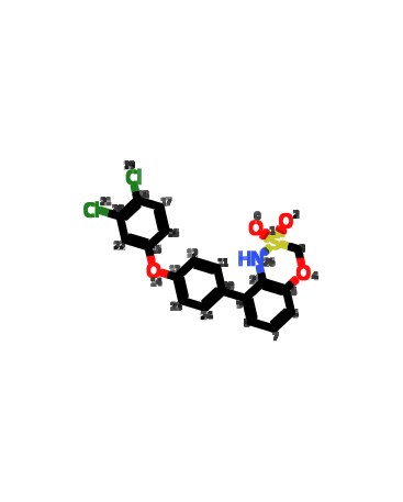 O=S1(=O)COc2cccc(-c3ccc(Oc4ccc(Cl)c(Cl)c4)cc3)c2N1